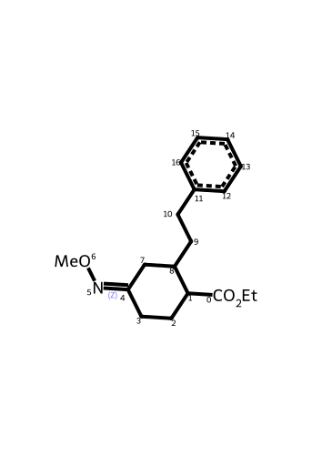 CCOC(=O)C1CC/C(=N/OC)CC1CCc1ccccc1